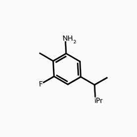 Cc1c(N)cc(C(C)C(C)C)cc1F